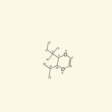 CCC(C)(C)C1OC=COC1C(C)C